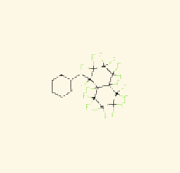 FC1(F)C(F)(F)C(F)(F)C2(F)C(F)(CC3CCCCC3)C(F)(F)C(F)(F)C(F)(F)C2(F)C1(F)F